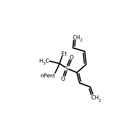 C=C/C=C\C(=C/C=C)S(=O)(=O)C(C)(CC)CCCCC